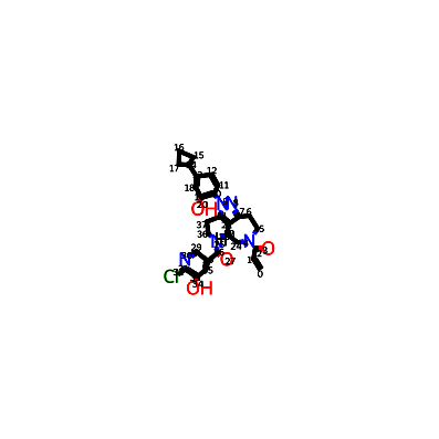 C=CC(=O)N1CCc2nn(-c3ccc(C4CCC4)cc3O)c3c2[C@H](C1)N(C(=O)c1cnc(Cl)c(O)c1)CC3